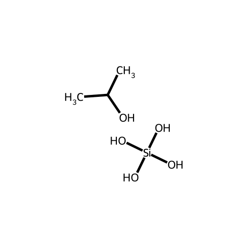 CC(C)O.O[Si](O)(O)O